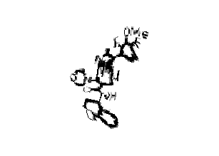 COc1c(F)ccc(-c2c(C)nn3c(N4CCOCC4)c(C(=O)N[C@H]4CCOc5ccccc54)cnc23)c1F